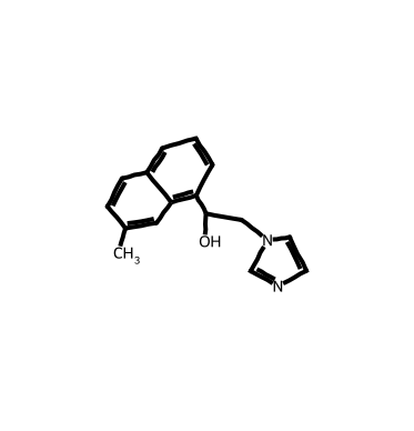 Cc1ccc2cccc(C(O)Cn3ccnc3)c2c1